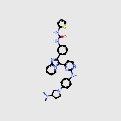 CN(C)C1CCN(c2ccc(Nc3nccc(-c4c(-c5cccc(NC(=O)Nc6cccs6)c5)nc5ccccn45)n3)cc2)C1